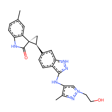 Cc1ccc2c(c1)[C@]1(C[C@H]1c1ccc3c(Nc4cn(CCO)nc4C)n[nH]c3c1)C(=O)N2